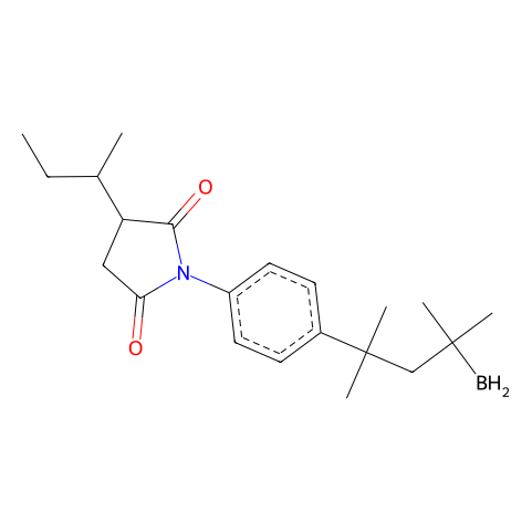 BC(C)(C)CC(C)(C)c1ccc(N2C(=O)CC(C(C)CC)C2=O)cc1